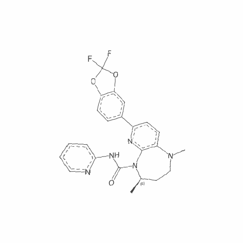 C[C@@H]1CCN(C)c2ccc(-c3ccc4c(c3)OC(F)(F)O4)nc2N1C(=O)Nc1ccccn1